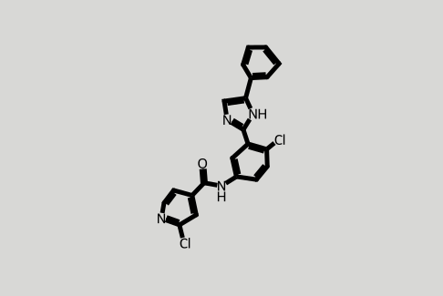 O=C(Nc1ccc(Cl)c(-c2ncc(-c3ccccc3)[nH]2)c1)c1ccnc(Cl)c1